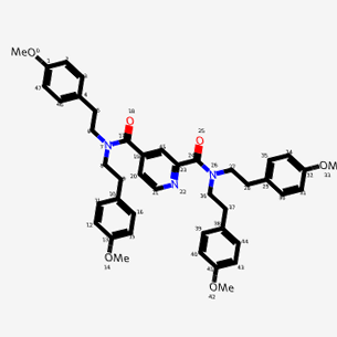 COc1ccc(CCN(CCc2ccc(OC)cc2)C(=O)c2ccnc(C(=O)N(CCc3ccc(OC)cc3)CCc3ccc(OC)cc3)c2)cc1